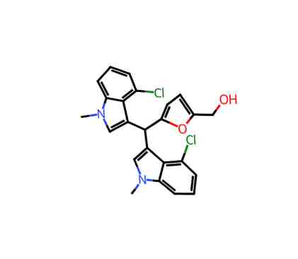 Cn1cc(C(c2ccc(CO)o2)c2cn(C)c3cccc(Cl)c23)c2c(Cl)cccc21